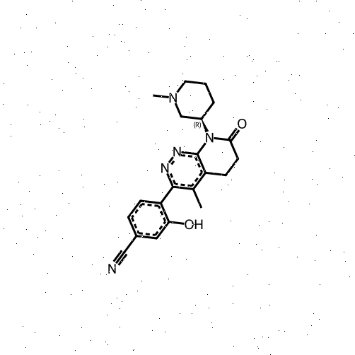 Cc1c(-c2ccc(C#N)cc2O)nnc2c1CCC(=O)N2[C@@H]1CCCN(C)C1